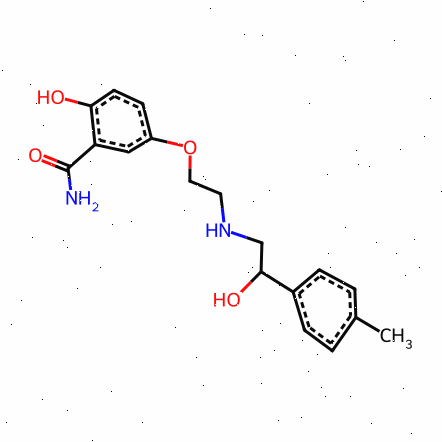 Cc1ccc(C(O)CNCCOc2ccc(O)c(C(N)=O)c2)cc1